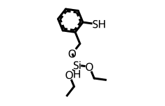 CCO[SiH](OCC)OCc1ccccc1S